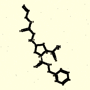 C=CCOC(=O)CN[C@@H]1C[C@@H](C(=O)OCc2ccccc2)N(C(=O)O)C1